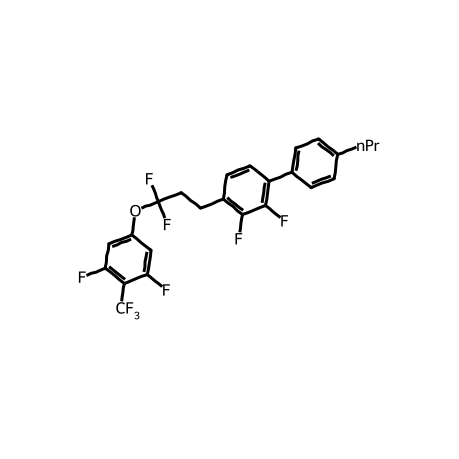 CCCc1ccc(-c2ccc(CCC(F)(F)Oc3cc(F)c(C(F)(F)F)c(F)c3)c(F)c2F)cc1